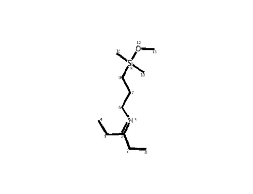 CCC(CC)=NCCC[Si](C)(C)OC